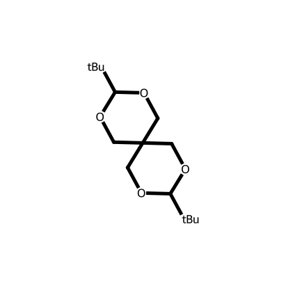 CC(C)(C)C1OCC2(CO1)COC(C(C)(C)C)OC2